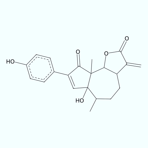 C=C1C(=O)OC2C1CCC(C)C1(O)C=C(c3ccc(O)cc3)C(=O)C21C